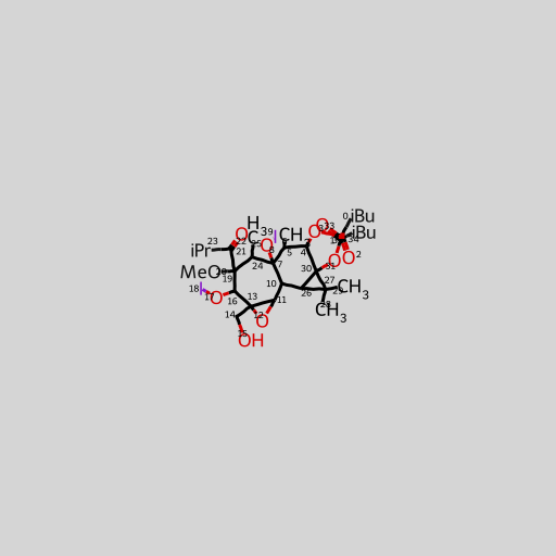 CCC(C)C(=O)OC1C(C)C2(OI)C(C3OC3(CO)C(OI)C(OC)(C(=O)C(C)C)C2C)C2C(C)(C)C12OC(=O)C(C)CC